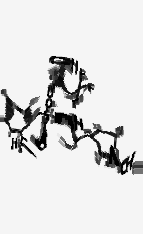 Cc1ccccc1S(=O)(=O)NCC1CCN(C)C1.O=C(O)C(F)(F)F